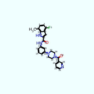 Cc1ccc(F)c2cc(C(=O)Nc3cccc(N4CCN(C(=O)c5cccnc5)CC4)c3)[nH]c12